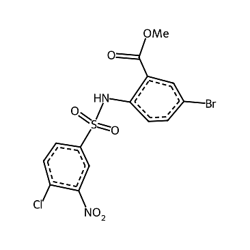 COC(=O)c1cc(Br)ccc1NS(=O)(=O)c1ccc(Cl)c([N+](=O)[O-])c1